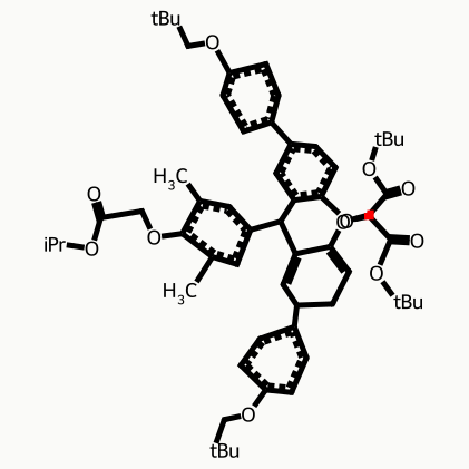 Cc1cc(C(C2=CC(c3ccc(OCC(C)(C)C)cc3)CC=C2OCC(=O)OC(C)(C)C)c2cc(-c3ccc(OCC(C)(C)C)cc3)ccc2OCC(=O)OC(C)(C)C)cc(C)c1OCC(=O)OC(C)C